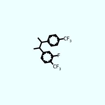 CC(c1ccc(C(F)(F)F)cc1)C(C)c1ccc(C(F)(F)F)c(F)c1